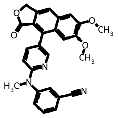 COc1cc2cc3c(c(-c4ccc(N(C)c5cccc(C#N)c5)nc4)c2cc1OC)C(=O)OC3